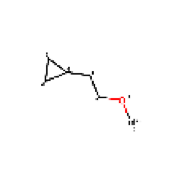 CCCOCCC1CC1